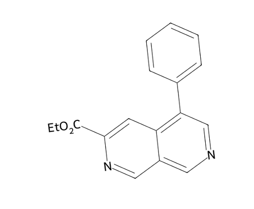 CCOC(=O)c1cc2c(-c3ccccc3)cncc2cn1